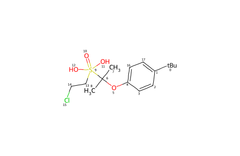 CC(C)(C)c1ccc(OC(C)(C)S(=O)(O)(O)CCCl)cc1